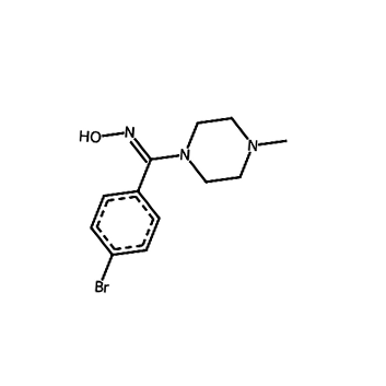 CN1CCN(/C(=N/O)c2ccc(Br)cc2)CC1